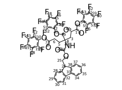 O=C(CCC(CCC(=O)Oc1c(F)c(F)c(F)c(F)c1F)(NC(=O)OCC1c2ccccc2-c2ccccc21)C(=O)Oc1c(F)c(F)c(F)c(F)c1F)Oc1c(F)c(F)c(F)c(F)c1F